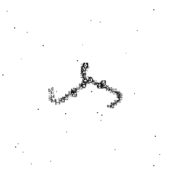 CCCCC/C=C\C/C=C\CCCCCCCC(=O)OCCCCOc1cc(CCCN2CCOCC2)cc(OCCCCOC(=O)CCCCCCC/C=C\C/C=C\CCCCC)c1